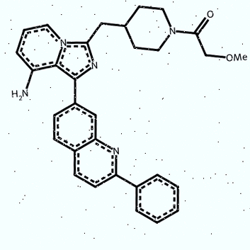 COCC(=O)N1CCC(Cc2nc(-c3ccc4ccc(-c5ccccc5)nc4c3)c3c(N)cccn23)CC1